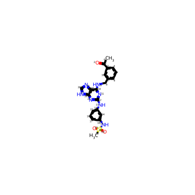 CC(=O)c1cccc(CNc2nc(Nc3cccc(NS(C)(=O)=O)c3)nc3[nH]cnc23)c1